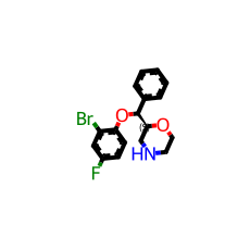 Fc1ccc(OC(c2ccccc2)[C@@H]2CNCCO2)c(Br)c1